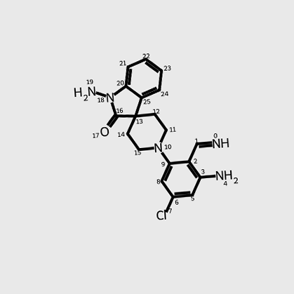 N=Cc1c(N)cc(Cl)cc1N1CCC2(CC1)C(=O)N(N)c1ccccc12